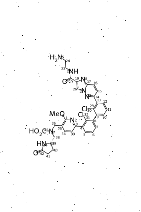 COc1nc(-c2cccc(-c3cccc(-c4ccc5nc(C(=O)NCCN)cn5n4)c3Cl)c2Cl)ccc1CN(C[C@@H]1CCC(=O)N1)C(=O)O